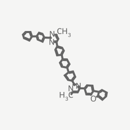 Cc1cc(-c2ccc(-c3ccc(-c4ccc(-c5nc(C)cc(-c6ccc7c(c6)oc6ccccc67)n5)cc4)cc3)cc2)nc(-c2ccc(-c3ccccc3)cc2)n1